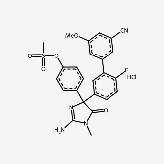 COc1cc(C#N)cc(-c2cc(C3(c4ccc(OS(C)(=O)=O)cc4)N=C(N)N(C)C3=O)ccc2F)c1.Cl